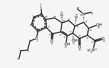 CCCCOc1ccc(I)c2c1C(=O)C1=C(O)[C@]3(O)C(=O)C(C(N)=O)C(O)[C@@H](N(C)C)[C@@H]3C[C@@H]1C2